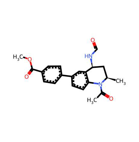 COC(=O)c1ccc(-c2ccc3c(c2)[C@@H](NC=O)C[C@@H](C)N3C(C)=O)cc1